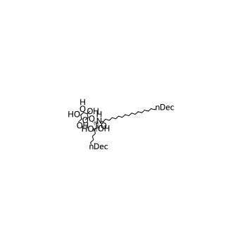 CCCCCCCCCCCCCCCCCCCCCCCCCCC(=O)N[C@@H](COC1OC(CO)C(O)C(O)C1O)[C@H](O)[C@H](O)CCCCCCCCCCCCCC